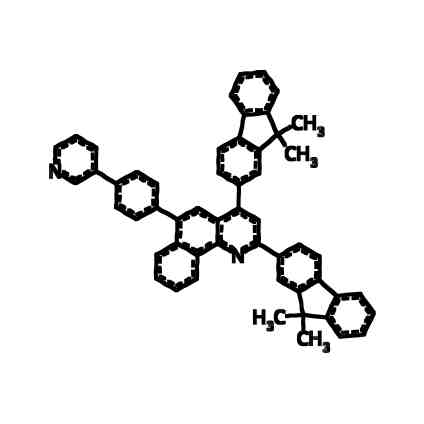 CC1(C)c2ccccc2-c2ccc(-c3cc(-c4ccc5c(c4)C(C)(C)c4ccccc4-5)c4cc(-c5ccc(-c6cccnc6)cc5)c5ccccc5c4n3)cc21